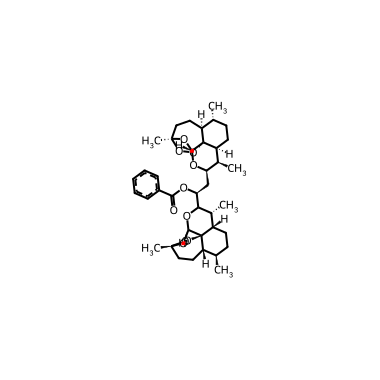 C[C@H]1[C@@H](C[C@H](OC(=O)c2ccccc2)C2O[C@@H]3O[C@]4(C)CC[C@H]5[C@H](C)CC[C@@H]([C@H]2C)[C@@]35OO4)O[C@@H]2O[C@]3(C)CC[C@H]4[C@H](C)CC[C@@H]1[C@@]24OO3